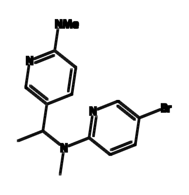 CNc1ccc(C(C)N(C)c2ccc(Br)cn2)cn1